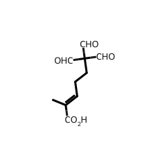 CC(=CCCC(C=O)(C=O)C=O)C(=O)O